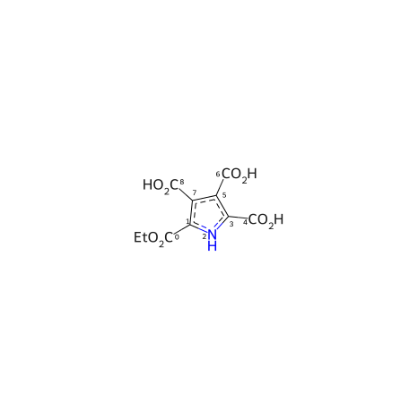 CCOC(=O)c1[nH]c(C(=O)O)c(C(=O)O)c1C(=O)O